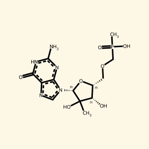 CC1(O)[C@@H](O)[C@@H](COCP(C)(=O)O)O[C@H]1n1cnc2c(=O)[nH]c(N)nc21